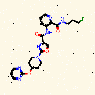 O=C(Nc1cccnc1C(=O)NCCCF)c1coc(N2CCC(Oc3ncccn3)CC2)n1